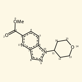 COC(=O)c1ccc2c(cnn2C2CCOCC2)n1